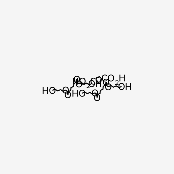 O=C(CCCCC(=O)OCCCCO)OCCCCO.O=C(CCCCC(=O)OCCCCO)OCCCCO.O=C(O)c1ccc(C(=O)O)cc1